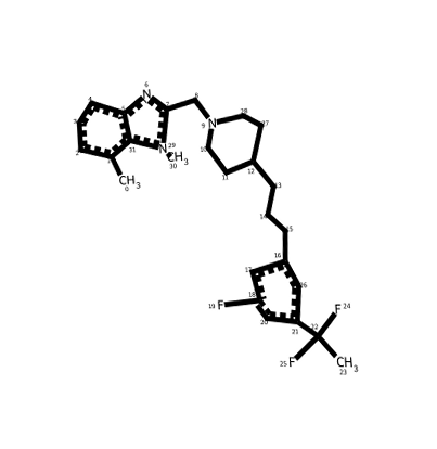 Cc1cccc2nc(CN3CCC(CCCc4cc(F)cc(C(C)(F)F)c4)CC3)n(C)c12